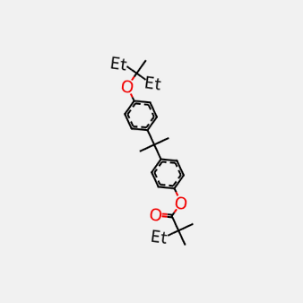 CCC(C)(CC)Oc1ccc(C(C)(C)c2ccc(OC(=O)C(C)(C)CC)cc2)cc1